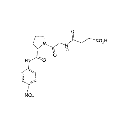 O=C(O)CCC(=O)NCC(=O)N1CCC[C@H]1C(=O)Nc1ccc([N+](=O)[O-])cc1